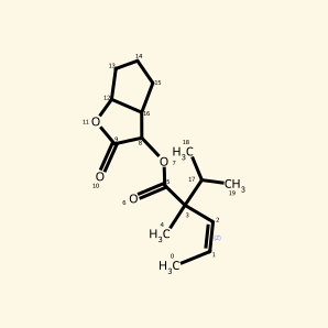 C/C=C\C(C)(C(=O)OC1C(=O)OC2CCCC21)C(C)C